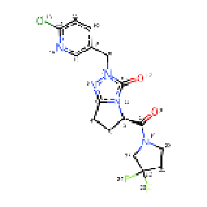 O=C([C@H]1CCc2nn(Cc3ccc(Cl)nc3)c(=O)n21)N1CCC(F)(F)C1